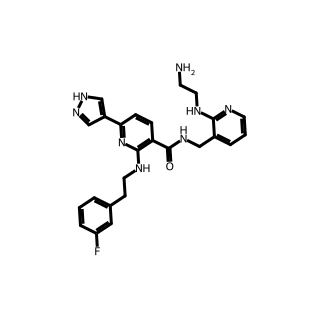 NCCNc1ncccc1CNC(=O)c1ccc(-c2cn[nH]c2)nc1NCCc1cccc(F)c1